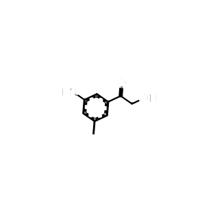 Cc1cc(N)cc(C(=O)CO)c1